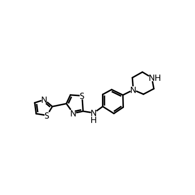 c1csc(-c2csc(Nc3ccc(N4CCNCC4)cc3)n2)n1